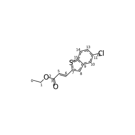 CCOC(=O)/C=C/c1cc2cc(Cl)ccc2s1